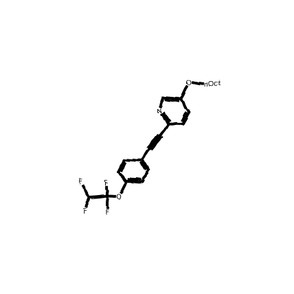 CCCCCCCCOc1ccc(C#Cc2ccc(OC(F)(F)C(F)F)cc2)nc1